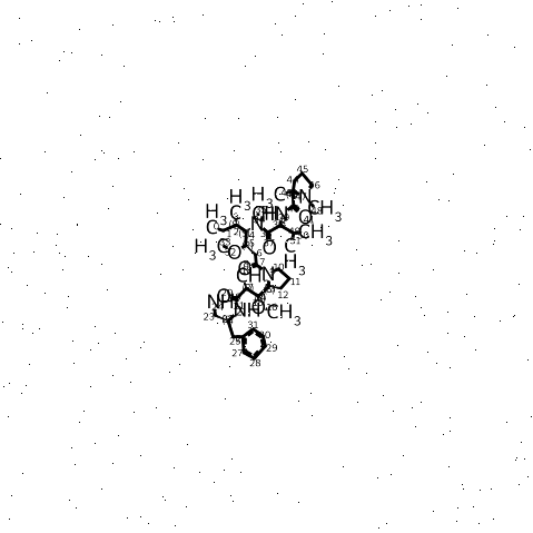 CC[C@H](C)[C@@H]([C@@H](CC(=O)N1CCC[C@H]1[C@H](OC)[C@@H](C)C(=O)N[C@H](CN)Cc1ccccc1)OC)N(C)C(=O)C(NC(=O)[C@]1(C)CCCN1C)C(C)C